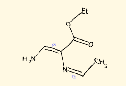 C/C=N\C(=C/N)C(=O)OCC